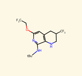 CC(C)(C)Nc1nc(OCC(F)(F)F)cc2c1NCC(C(F)(F)F)C2